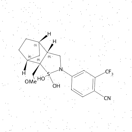 COC[C@@]12[C@@H]3CC[C@@H](C3)[C@@H]1CN(c1ccc(C#N)c(C(F)(F)F)c1)S2(O)O